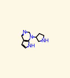 C1=NCN(C2CCNC2)c2[nH]ccc21